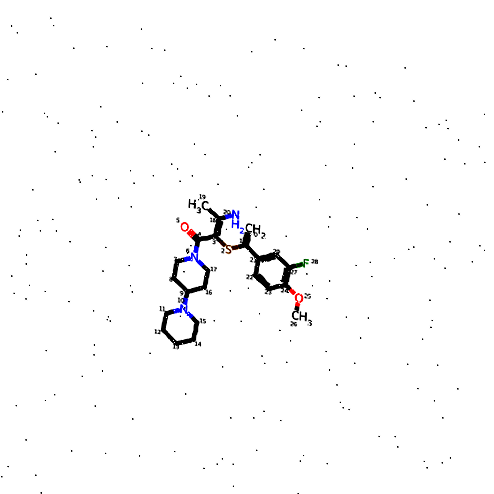 C=C(S/C(C(=O)N1CCC(N2CCCCC2)CC1)=C(/C)N)c1ccc(OC)c(F)c1